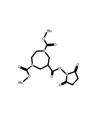 CC(C)(C)OC(=O)N1CCN(C(=O)OC(C)(C)C)CC(C(=O)ON2C(=O)CCC2=O)C1